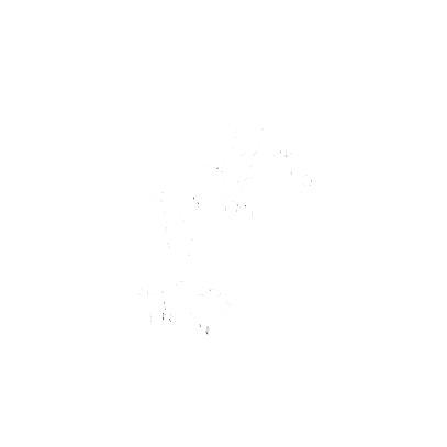 CCC12CC(=O)Nc3cccc(c31)N(Cc1ccc3cc4c(cc3n1)CC1(C4)C(=O)Nc3ncccc31)C2